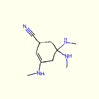 CNC1=CC(C#N)CC(NC)(NC)C1